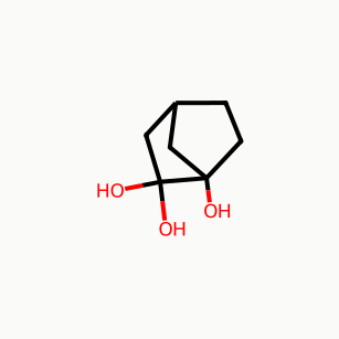 OC1(O)CC2CCC1(O)C2